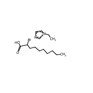 CCCCCCCCC(Br)C(=O)O.CCn1ccnc1